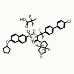 O=C(O)C(F)(F)F.O=C([C@H](NS(=O)(=O)c1ccc2cc(OC3CCCC3)ccc2c1)C(F)(F)c1ccc(-c2ccc(Cl)cc2)cc1)N1CC[C@@H]2CNC[C@@H]21